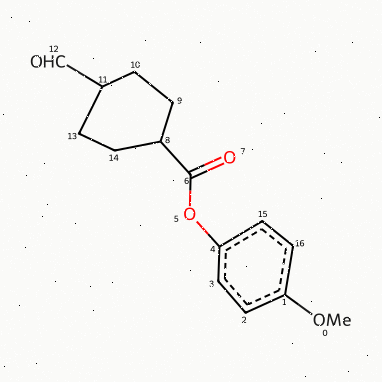 COc1ccc(OC(=O)C2CCC(C=O)CC2)cc1